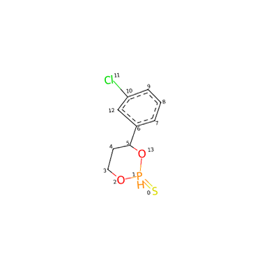 S=[PH]1OCCC(c2cccc(Cl)c2)O1